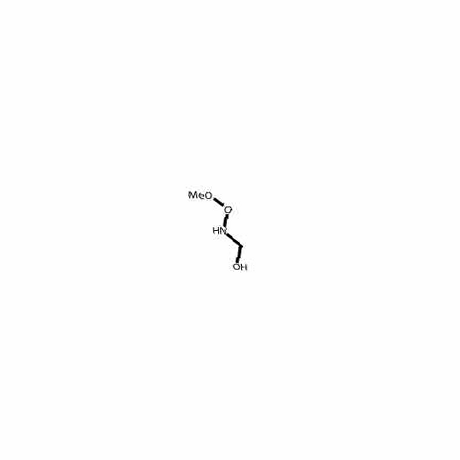 COONCO